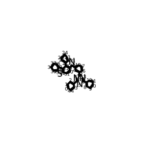 c1ccc(-c2nc(-c3ccccc3)nc(-c3cccc(-c4nc5ccccc5c5c4ccc4sc6ccccc6c45)c3)n2)cc1